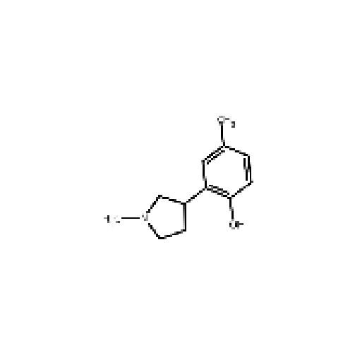 Cc1ccc(O)c(C2CCN(C)C2)c1